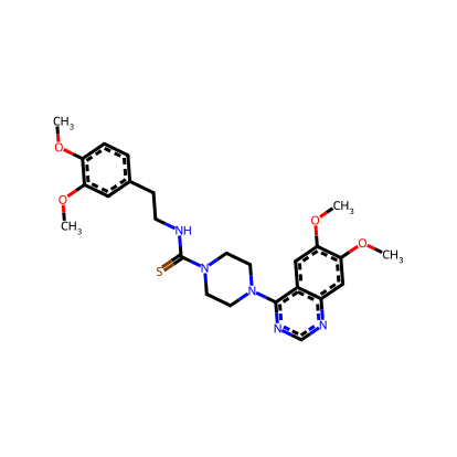 COc1ccc(CCNC(=S)N2CCN(c3ncnc4cc(OC)c(OC)cc34)CC2)cc1OC